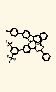 Cc1ccc(-c2ccc3c4ccccc4n(-c4cc(-c5cc(C(F)(F)F)cc(C(F)(F)F)c5)ccc4-c4nc(-c5ccccc5)nc(-c5ccccc5)n4)c3c2)cc1